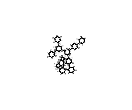 c1ccc(-c2ccc(-c3nc(-c4cc(-c5ccccc5)cc(-c5ccccc5)c4)nc(-c4ccc5c(c4)C4(c6ccccc6-c6ccccc6-5)c5ccccc5-c5ccccc54)n3)cc2)cc1